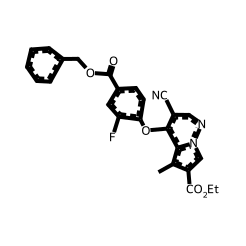 CCOC(=O)c1cn2ncc(C#N)c(Oc3ccc(C(=O)OCc4ccccc4)cc3F)c2c1C